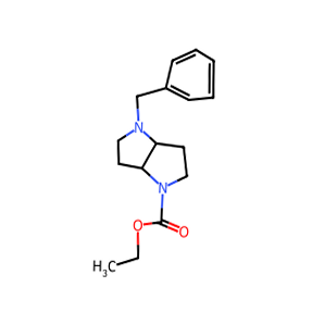 CCOC(=O)N1CCC2C1CCN2Cc1ccccc1